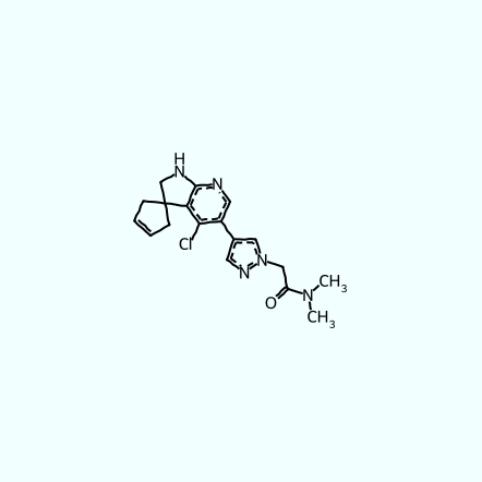 CN(C)C(=O)Cn1cc(-c2cnc3c(c2Cl)C2(CC=CC2)CN3)cn1